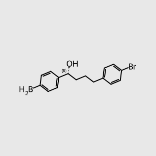 Bc1ccc([C@H](O)CCCc2ccc(Br)cc2)cc1